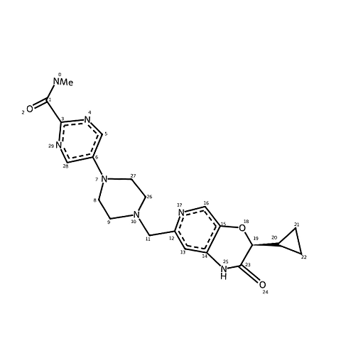 CNC(=O)c1ncc(N2CCN(Cc3cc4c(cn3)O[C@@H](C3CC3)C(=O)N4)CC2)cn1